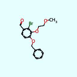 COCCOc1c(OCc2ccccc2)ccc(C=O)c1Br